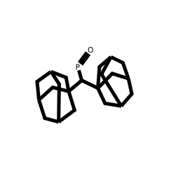 O=PC(C12CC3CC(CC(C3)C1)C2)C12CC3CC(CC(C3)C1)C2